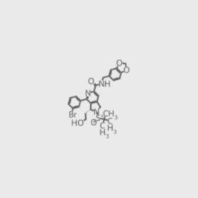 CC(C)(C)[S@@+]([O-])N1Cc2cc(C(=O)NCc3ccc4c(c3)OCO4)nc(-c3cccc(Br)c3)c2[C@H]1CCO